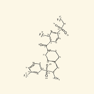 CC(CC1CCN(C(=O)c2ccc(S(=O)(=O)CC(F)(F)F)cc2C(F)(F)F)CC1)S(=O)(=O)c1cccc(C(F)(F)F)c1